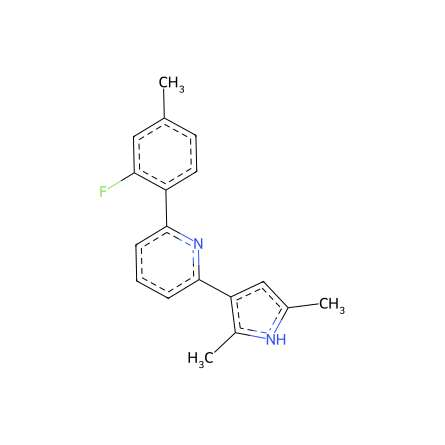 Cc1ccc(-c2cccc(-c3cc(C)[nH]c3C)n2)c(F)c1